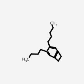 CCCCCc1cc2c(cc1CCCC)CC2